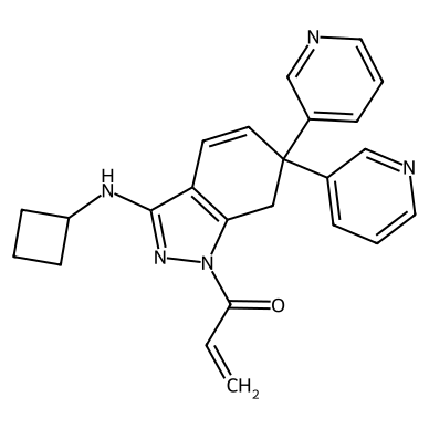 C=CC(=O)n1nc(NC2CCC2)c2c1CC(c1cccnc1)(c1cccnc1)C=C2